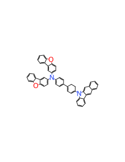 C1=C(c2ccc(N(c3ccc4oc5ccccc5c4c3)c3ccc4oc5ccccc5c4c3)cc2)CCC(n2c3ccccc3c3cc4ccccc4cc32)=C1